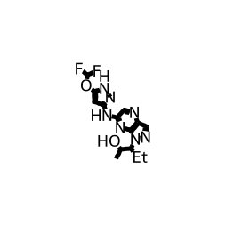 CCC(C(C)O)n1ncc2ncc(Nc3cc(OC(F)F)[nH]n3)nc21